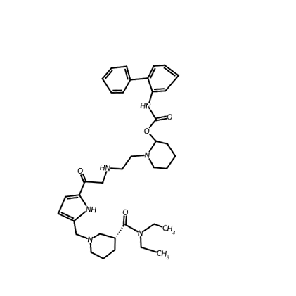 CCN(CC)C(=O)[C@@H]1CCCN(Cc2ccc(C(=O)CNCCN3CCCCC3OC(=O)Nc3ccccc3-c3ccccc3)[nH]2)C1